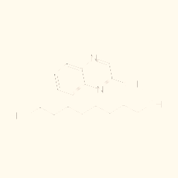 CCCCCCCCCC.Cc1cnc2ccccc2n1